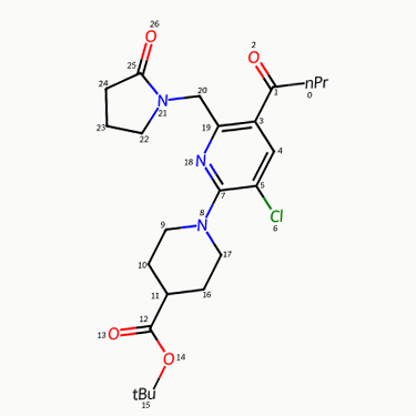 CCCC(=O)c1cc(Cl)c(N2CCC(C(=O)OC(C)(C)C)CC2)nc1CN1CCCC1=O